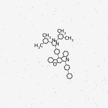 Cc1cc(C)cc(-c2cc(-c3ccc(-c4c5c(cc6c(-c7ccc(-c8ccccc8)cc7)nc7ccccc7c46)oc4ccccc45)cc3)nc(-c3cc(C)cc(C)c3)n2)c1